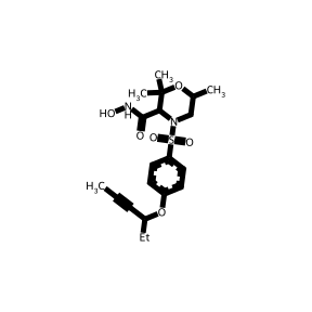 CC#CC(CC)Oc1ccc(S(=O)(=O)N2CC(C)OC(C)(C)C2C(=O)NO)cc1